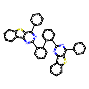 c1ccc(-c2nc(-c3ccccc3-c3ccccc3-c3nc(-c4ccccc4)c4sc5ccccc5c4n3)nc3c2sc2ccccc23)cc1